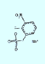 O=[N+]([O-])c1cccc(CS(=O)(=O)[O-])c1F.[Na+]